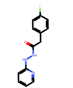 O=C(Cc1ccc(F)cc1)NNc1ccccn1